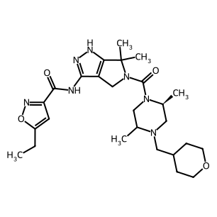 CCc1cc(C(=O)Nc2n[nH]c3c2CN(C(=O)N2CC(C)N(CC4CCOCC4)C[C@@H]2C)C3(C)C)no1